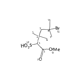 COC(=O)C(C(C)(C)CC(C)(C)Br)S(=O)(=O)O